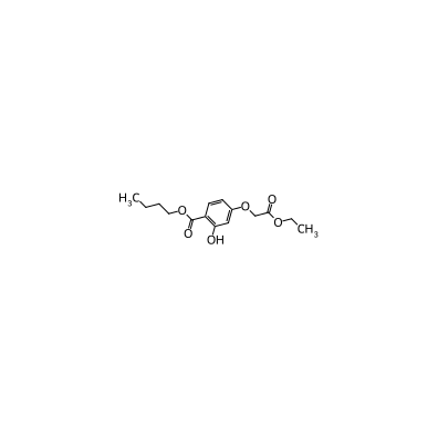 CCCCOC(=O)c1ccc(OCC(=O)OCC)cc1O